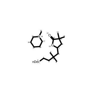 CCCCCCCCCCCCC(C)(C)CC1CC(C)(C)C(=O)O1.CN1CCCCC1